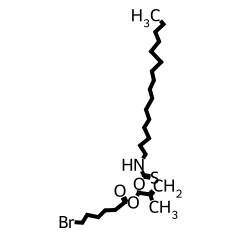 C=C(C)C(OC(=O)CCCCCBr)OC(=S)NCCCCCCCCCCCCCCCC